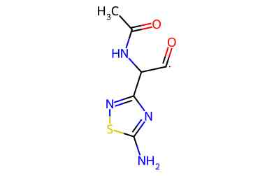 CC(=O)NC([C]=O)c1nsc(N)n1